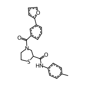 Cc1ccc(NC(=O)C2CN(C(=O)c3cccc(-c4ccco4)c3)CCS2)cc1